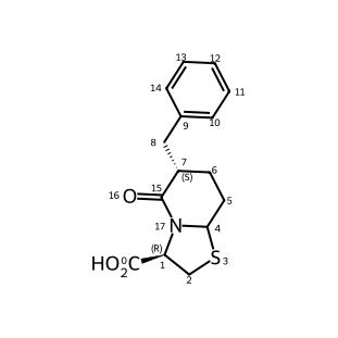 O=C(O)[C@@H]1CSC2CC[C@@H](Cc3ccccc3)C(=O)N21